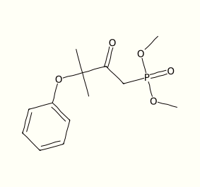 COP(=O)(CC(=O)C(C)(C)Oc1ccccc1)OC